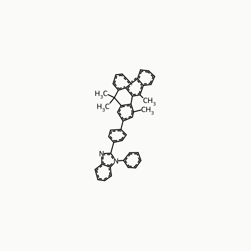 Cc1cc(-c2ccc(-c3nc4ccccc4n3-c3ccccc3)cc2)cc2c1-c1c(C)c3ccccc3c3cccc(c13)C2(C)C